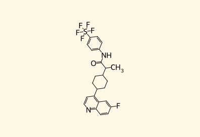 CC(C(=O)Nc1ccc(S(F)(F)(F)(F)F)cc1)C1CCC(c2ccnc3ccc(F)cc23)CC1